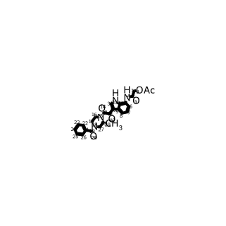 CC(=O)OCC(=O)Nc1cccc2c(C(=O)C(=O)N3CCN(C(=O)c4ccccc4)C[C@H]3C)c[nH]c12